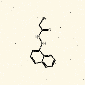 CC(C)CC(=O)NNc1cccc2ccccc12